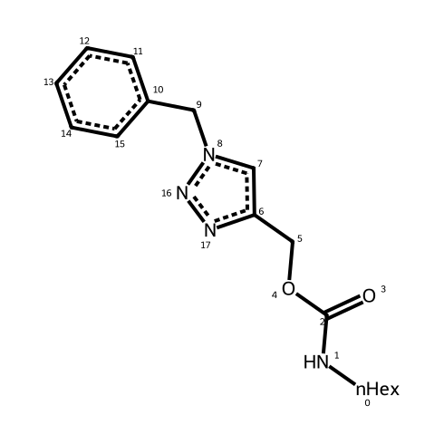 CCCCCCNC(=O)OCc1cn(Cc2ccccc2)nn1